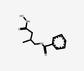 CC(CNC(=O)c1ccccc1)CC(=O)NO